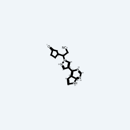 N#CCC(C1CCC(=O)C1)n1cc(-c2ncnc3[nH]ccc23)cn1